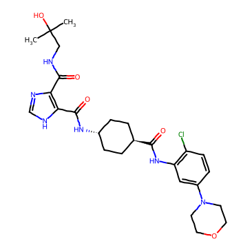 CC(C)(O)CNC(=O)c1nc[nH]c1C(=O)N[C@H]1CC[C@H](C(=O)Nc2cc(N3CCOCC3)ccc2Cl)CC1